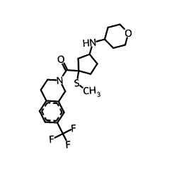 CSC1(C(=O)N2CCc3ccc(C(F)(F)F)cc3C2)CCC(NC2CCOCC2)C1